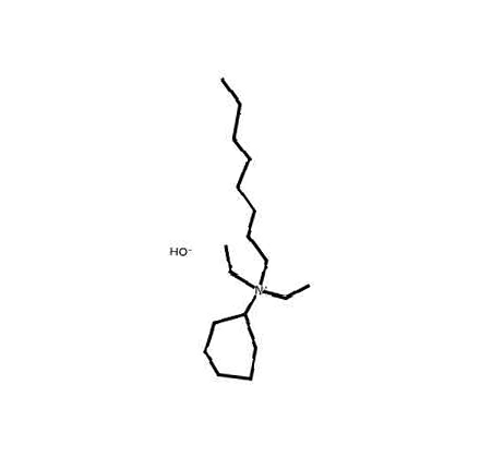 CCCCCCCC[N+](CC)(CC)C1CCCCC1.[OH-]